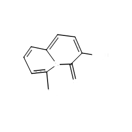 Cc1cccc2ccc(C(=O)O)c(=O)n12